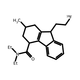 CCN(CC)C(=O)C1CC(C)CC2=C1c1ccccc1C2CC[18F]